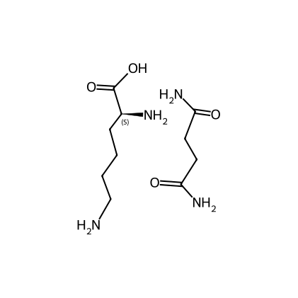 NC(=O)CCC(N)=O.NCCCC[C@H](N)C(=O)O